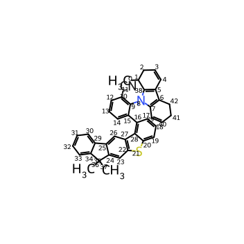 CC1CC=Cc2c3c(n(-c4c(C#N)cccc4-c4cccc5sc6cc7c(cc6c45)-c4ccccc4C7(C)C)c21)C=CCC3